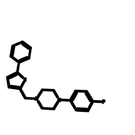 Fc1ccc(N2CCN(Cc3ccc(-c4ccccc4)s3)CC2)cc1